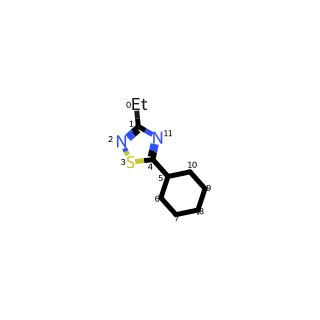 CCc1nsc(C2CC[CH]CC2)n1